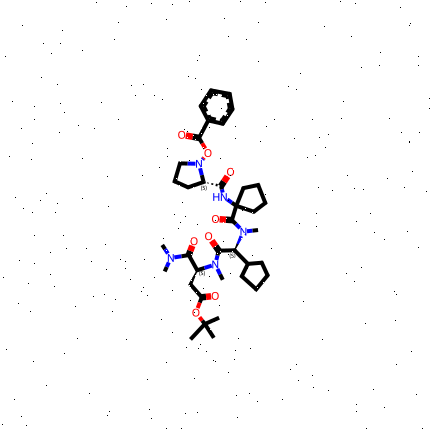 CN(C)C(=O)[C@H](CC(=O)OC(C)(C)C)N(C)C(=O)[C@H](C1CCCC1)N(C)C(=O)C1(NC(=O)[C@@H]2CCCN2OC(=O)c2ccccc2)CCCC1